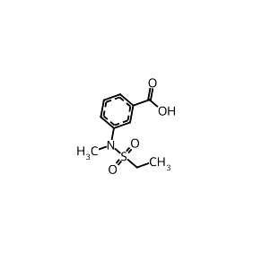 CCS(=O)(=O)N(C)c1cccc(C(=O)O)c1